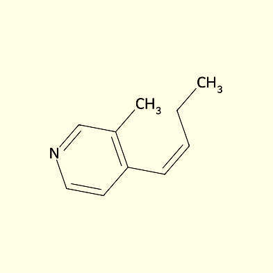 CC/C=C\c1ccncc1C